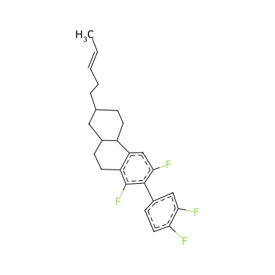 C/C=C/CCC1CCC2c3cc(F)c(-c4ccc(F)c(F)c4)c(F)c3CCC2C1